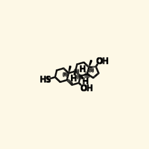 C[C@]12CCC(S)CC1=CC(O)[C@@H]1[C@H]2CC[C@]2(C)C(O)CC[C@@H]12